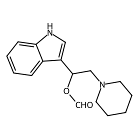 O=COC(CN1CCCCC1)c1c[nH]c2ccccc12